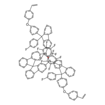 C=Cc1ccc(Oc2ccc(C3(c4ccc(F)cc4)c4ccccc4-c4ccc(N(c5ccc6c(c5)C5(c7ccccc7-6)c6ccccc6-c6ccc(N(c7ccc8c(c7)C(c7ccc(F)cc7)(c7ccc(Oc9ccc(C=C)cc9)cc7)c7ccccc7-8)c7c(F)c(F)c(F)c(F)c7F)cc65)c5c(F)c(F)c(F)c(F)c5F)cc43)cc2)cc1